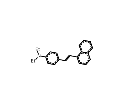 CCN(CC)c1ccc(C=Cc2cccc3ccccc23)cc1